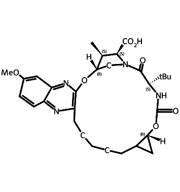 COc1ccc2nc3c(nc2c1)O[C@H]1CN(C(=O)[C@H](C(C)(C)C)NC(=O)O[C@@H]2CC2CCCCC3)[C@H](C(=O)O)[C@@H]1C